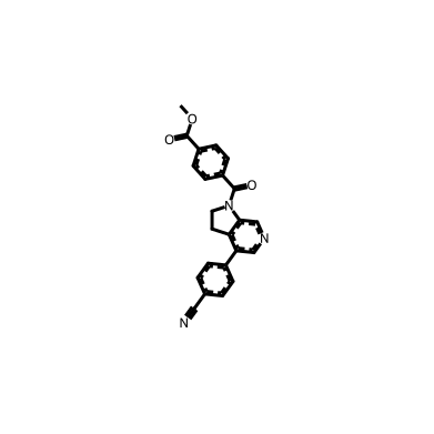 COC(=O)c1ccc(C(=O)N2CCc3c(-c4ccc(C#N)cc4)cncc32)cc1